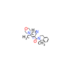 CC1c2ccccc2CCN1C(=O)/C(C#N)=C/C(C)(C)N1CCOCC1